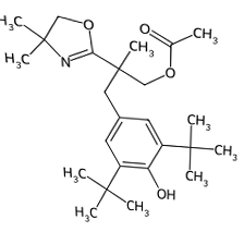 CC(=O)OCC(C)(Cc1cc(C(C)(C)C)c(O)c(C(C)(C)C)c1)C1=NC(C)(C)CO1